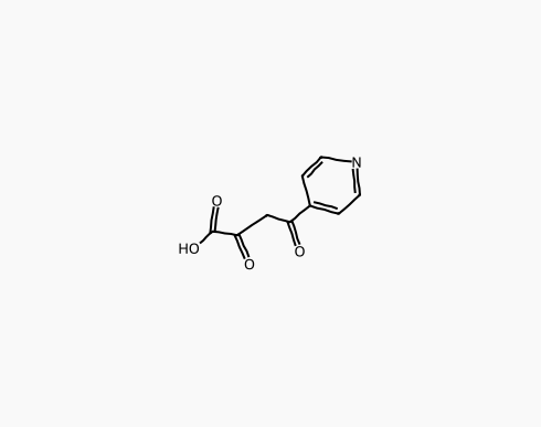 O=C(O)C(=O)CC(=O)c1ccncc1